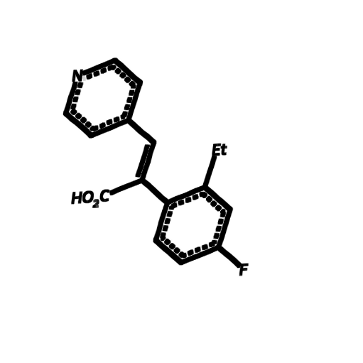 CCc1cc(F)ccc1C(=Cc1ccncc1)C(=O)O